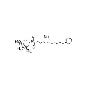 C[N+](C)(C)C[C@@H](CC(=O)O)NC(=O)CCCCCCCCCCc1ccccc1.N